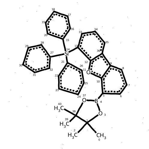 CC1(C)OB(c2cccc3c2oc2c([Si](c4ccccc4)(c4ccccc4)c4ccccc4)cccc23)OC1(C)C